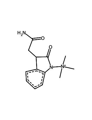 C[N+](C)(C)N1C(=O)C(CC(N)=O)c2ccccc21